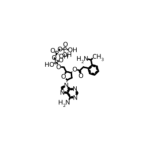 CC(N)c1ccccc1CC(=O)O[C@@H]1C[C@H](n2cnc3c(N)ncnc32)OC1COP(=O)(O)OP(=O)(O)OP(=O)(O)O